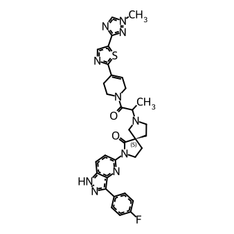 CC(C(=O)N1CC=C(c2ncc(-c3ncn(C)n3)s2)CC1)N1CC[C@]2(CCN(c3ccc4[nH]nc(-c5ccc(F)cc5)c4n3)C2=O)C1